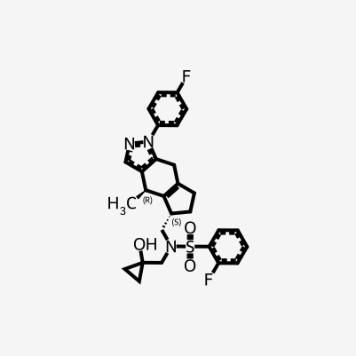 C[C@@H]1C2=C(CC[C@@H]2CN(CC2(O)CC2)S(=O)(=O)c2ccccc2F)Cc2c1cnn2-c1ccc(F)cc1